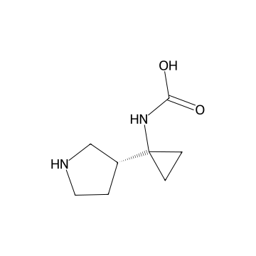 O=C(O)NC1([C@@H]2CCNC2)CC1